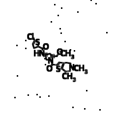 COC[C@@H]1C[C@@H](NC(=O)C2CC=C(Cl)S2)CN1C(=O)c1cc2c(s1)C(C)CN(C)CC2